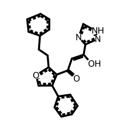 O=C(C=C(O)c1nc[nH]n1)c1c(-c2ccccc2)coc1CCc1ccccc1